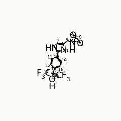 CS(=O)(=O)NCc1c[nH]c(-c2ccc(C(O)(C(F)(F)F)C(F)(F)F)cc2)n1